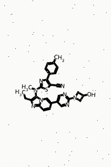 CCc1nc2ccc(-c3cnc(N4CC(O)C4)nc3)cn2c1N(C)c1nc(-c2ccc(C)cc2)c(C#N)s1